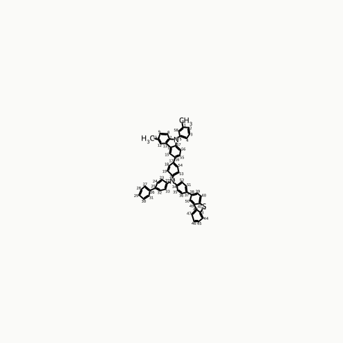 Cc1cccc(-n2c3ccc(C)cc3c3cc(-c4ccc(N(c5ccc(-c6ccccc6)cc5)c5ccc(-c6ccc7sc8ccccc8c7c6)cc5)cc4)ccc32)c1